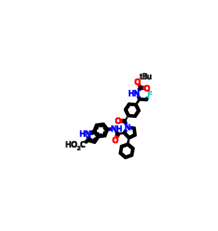 CC(C)(C)OC(=O)NC(CF)[C@H]1CC[C@H](C(=O)N2CC[C@@H](C3CCCCC3)[C@H]2C(=O)Nc2ccc3[nH]c(C(=O)O)cc3c2)CC1